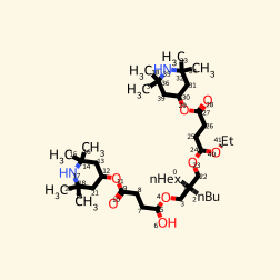 CCCCCCC(CCCC)(COC(O)CCC(=O)OC1CC(C)(C)NC(C)(C)C1)COC(CCC(=O)OC1CC(C)(C)NC(C)(C)C1)OCC